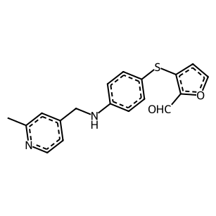 Cc1cc(CNc2ccc(Sc3ccoc3C=O)cc2)ccn1